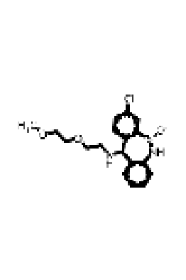 COCCOCCNC1c2ccccc2N[S+]([O-])c2cc(Cl)ccc21